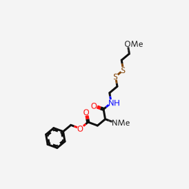 CNC(CC(=O)OCc1ccccc1)C(=O)NCCSSCCOC